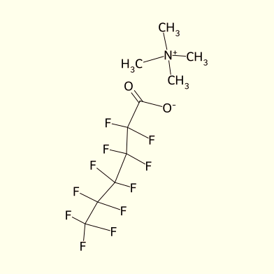 C[N+](C)(C)C.O=C([O-])C(F)(F)C(F)(F)C(F)(F)C(F)(F)C(F)(F)F